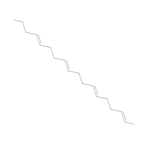 CCCC=CCCC=CCCC=CCCC=CCC[C]=O